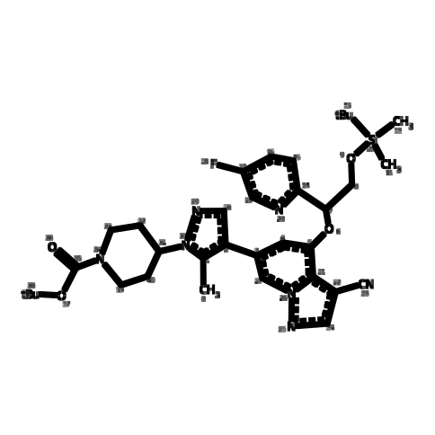 Cc1c(-c2cc(OC(CO[Si](C)(C)C(C)(C)C)c3ccc(F)cn3)c3c(C#N)cnn3c2)cnn1C1CCN(C(=O)OC(C)(C)C)CC1